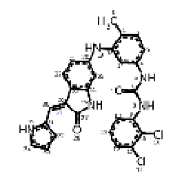 Cc1ccc(NC(=O)Nc2cccc(Cl)c2Cl)cc1Nc1ccc2c(c1)NC(=O)/C2=C\c1ccc[nH]1